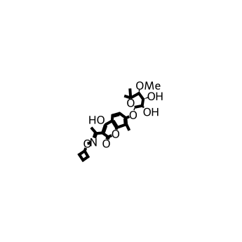 CO[C@@H]1[C@H](O)[C@@H](O)[C@H](Oc2ccc3c(O)c(C(C)=NOC4CCC4)c(=O)oc3c2C)OC1(C)C